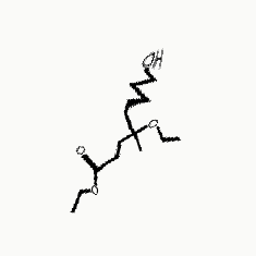 CCOC(=O)CCC(C)(CCCCO)OCC